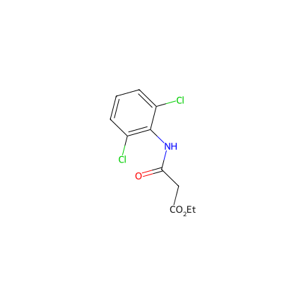 CCOC(=O)CC(=O)Nc1c(Cl)cccc1Cl